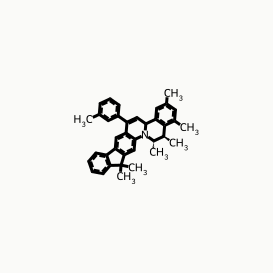 Cc1cccc(C2=CC3c4cc(C)cc(C)c4[C@@H](C)[C@H](C)N3c3cc4c(cc32)-c2ccccc2C4(C)C)c1